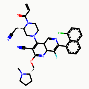 C=CC(=O)N1CCN(C2=C(C#N)C(OC[C@@H]3CCCN3C)=NC3C(F)=C(c4cccc5cccc(Cl)c45)N=CC23)C[C@@H]1CC#N